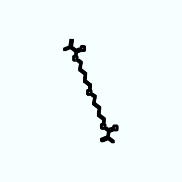 C=C(C)C(=O)OCCCCCOCCCCCOC(=O)C(=C)C